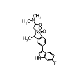 CC1c2cc(-c3c[nH]c4cc(F)ccc34)ccc2S(=O)(=O)N1CC(=O)N(C)C